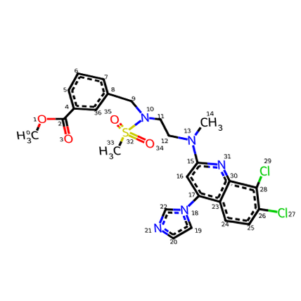 COC(=O)c1cccc(CN(CCN(C)c2cc(-n3ccnc3)c3ccc(Cl)c(Cl)c3n2)S(C)(=O)=O)c1